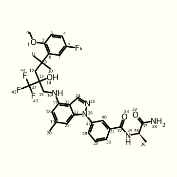 COc1ccc(F)cc1C(C)(C)CC(O)(CNc1cc(C)cc2c1cnn2-c1cccc(C(=O)N[C@H](C)C(N)=O)c1)C(F)(F)F